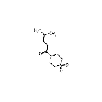 CC(C)CCC(=O)C1CCS(=O)(=O)CC1